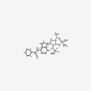 CC(C)(C)[Si](C)(C)OC1C(OP(N)(=O)O)C(CO)OC1n1cnc2c(NC(=O)c3ccccc3)ncnc21